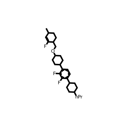 CCCC1CCC(c2ccc(C3CCC(OCC4CCC(C)C=C4F)CC3)c(F)c2F)CC1